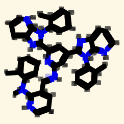 Cc1ccccc1N(C)c1ncccc1/C=N/c1cc(-c2nc3cccnc3n2-c2ccccc2C)cc(-c2nc3cccnc3n2-c2ccccc2C)n1